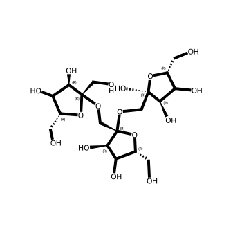 OC[C@H]1O[C@@](CO)(OC[C@@]2(OC[C@@]3(O)O[C@H](CO)C(O)[C@H]3O)O[C@H](CO)C(O)[C@H]2O)[C@H](O)C1O